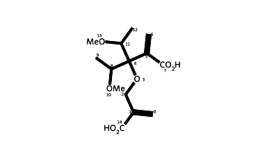 C=C(COC(C(=C)C(=O)O)(C(C)OC)C(C)OC)C(=O)O